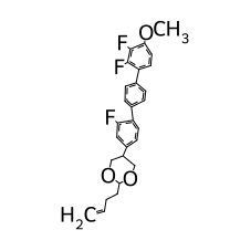 C=CCCC1OCC(c2ccc(-c3ccc(-c4ccc(OC)c(F)c4F)cc3)c(F)c2)CO1